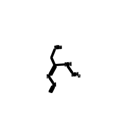 C=N/N=C(/CC(C)(C)C)NN